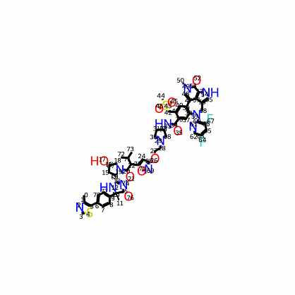 Cc1ncsc1-c1ccc([C@]2(C)NC([C@@H]3C[C@@H](O)CN3C(=O)C(c3cc(OCCN4CC[C@H](NC(=O)c5cc6c(cc5CS(C)(=O)=O)-c5cn(C)c(=O)c7[nH]cc(c57)CN6c5ncc(F)cc5F)C4)no3)C(C)C)=NC2=O)cc1